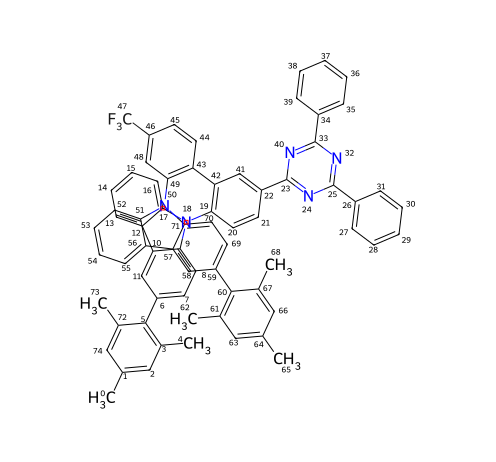 Cc1cc(C)c(-c2ccc3c(c2)c2ccccc2n3-c2ccc(-c3nc(-c4ccccc4)nc(-c4ccccc4)n3)cc2-c2ccc(C(F)(F)F)cc2-n2c3ccccc3c3cc(-c4c(C)cc(C)cc4C)ccc32)c(C)c1